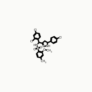 COc1cc(C)ccc1S(=O)(=O)NC(C1=NNC(c2ccc(Cl)cc2)C1)c1ccc(Cl)cc1Cl